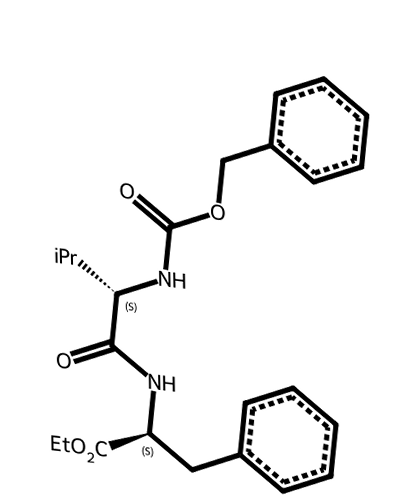 CCOC(=O)[C@H](Cc1ccccc1)NC(=O)[C@@H](NC(=O)OCc1ccccc1)C(C)C